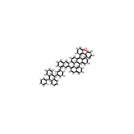 c1ccc(-c2c3ccccc3c(-c3cccc(-c4cccc5ccc(-c6ccc7cccc(-c8c9ccccc9c(-c9cccc%10oc%11ccccc%11c9%10)c9ccccc89)c7c6)cc45)c3)c3ccccc23)cc1